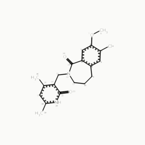 COc1cc2c(cc1Cl)CCCN(Cc1c(C)cc(C)[nH]c1=O)C2=O